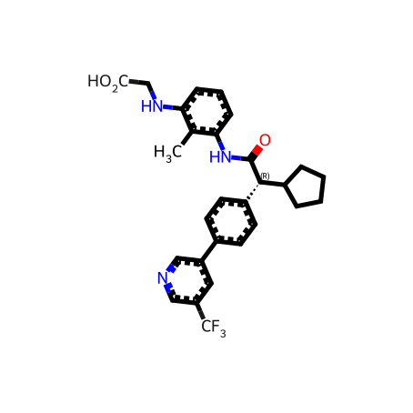 Cc1c(NCC(=O)O)cccc1NC(=O)[C@@H](c1ccc(-c2cncc(C(F)(F)F)c2)cc1)C1CCCC1